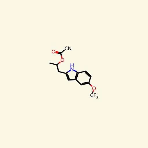 CC(Cc1cc2cc(OC(F)(F)F)ccc2[nH]1)OC(=O)C#N